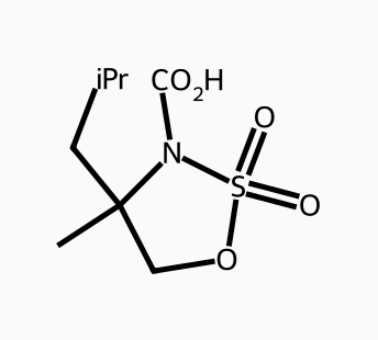 CC(C)CC1(C)COS(=O)(=O)N1C(=O)O